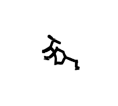 CC(C)SC1CSC(C#N)(C(=O)N(C)C)SC1